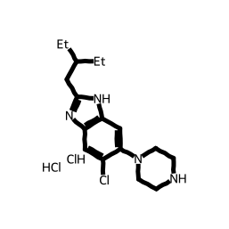 CCC(CC)Cc1nc2cc(Cl)c(N3CCNCC3)cc2[nH]1.Cl.Cl